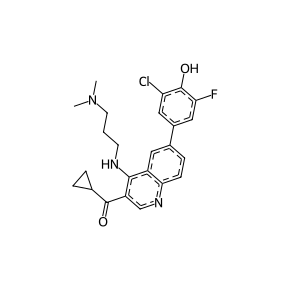 CN(C)CCCNc1c(C(=O)C2CC2)cnc2ccc(-c3cc(F)c(O)c(Cl)c3)cc12